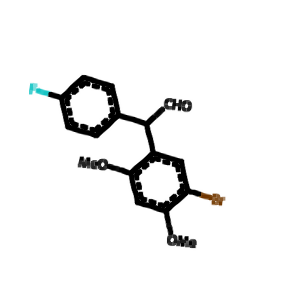 COc1cc(OC)c(C(C=O)c2ccc(F)cc2)cc1Br